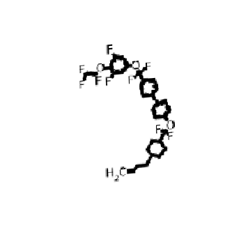 C=CCCC1CCC(C(F)(F)Oc2ccc(-c3ccc(C(F)(F)Oc4cc(F)c(OC(F)=C(F)F)c(F)c4)cc3)cc2)CC1